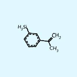 C=C(C)c1cccc([SiH3])c1